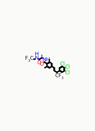 Cc1cc(/C=C/C(c2cc(Cl)c(Cl)c(Cl)c2)C(F)(F)F)cc(C)c1C(=O)N[C@H](C)C(=O)NCC(F)(F)F